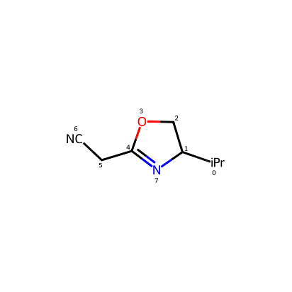 CC(C)C1COC(CC#N)=N1